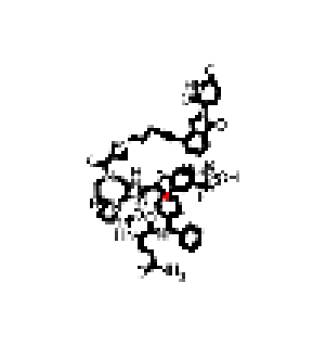 NC(=O)CCC(NC(=O)[C@@H]1CC[C@@H]2CCN(C(=O)C3CN(CCCC#Cc4cccc5c4CN(C4CCC(=O)NC4=O)C5=O)C3)C[C@H](NC(=O)c3cc4cc(C(F)(F)P(=O)(O)O)ccc4s3)C(=O)N21)C(=O)NC(c1ccccc1)c1ccccc1